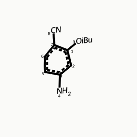 CC(C)COc1cc(N)ccc1C#N